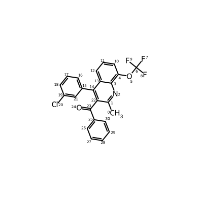 Cc1nc2c(OC(F)(F)F)cccc2c(-c2cccc(Cl)c2)c1C(=O)c1ccccc1